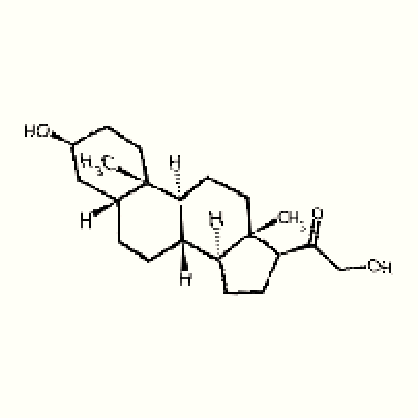 C[C@]12CC[C@H](O)C[C@H]1CC[C@@H]1[C@@H]2CC[C@]2(C)[C@@H](C(=O)CO)CC[C@@H]12